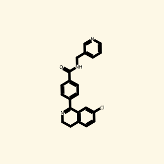 O=C(NCc1cccnc1)c1ccc(C2=NCCc3ccc(Cl)cc32)cc1